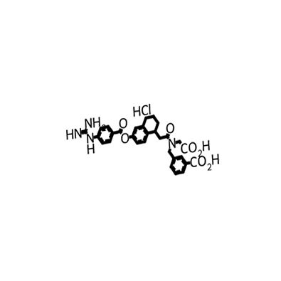 Cl.N=C(N)Nc1ccc(C(=O)Oc2ccc3c(c2)CCCC3CC(=O)N(CC(=O)O)Cc2cccc(C(=O)O)c2)cc1